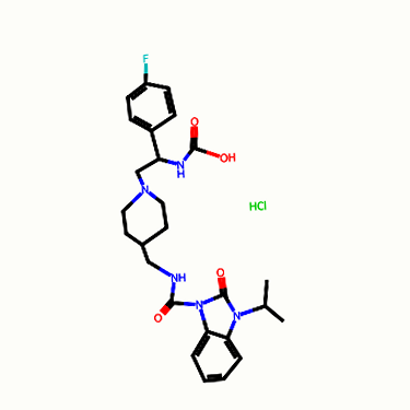 CC(C)n1c(=O)n(C(=O)NCC2CCN(CC(NC(=O)O)c3ccc(F)cc3)CC2)c2ccccc21.Cl